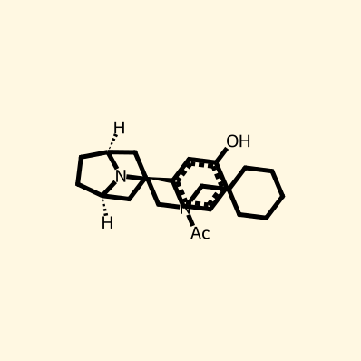 CC(=O)N(CCN1[C@@H]2CC[C@H]1C[C@@H](c1cccc(O)c1)C2)CC1CCCCC1